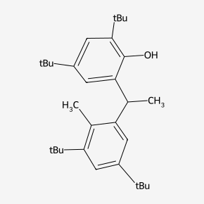 Cc1c(C(C)c2cc(C(C)(C)C)cc(C(C)(C)C)c2O)cc(C(C)(C)C)cc1C(C)(C)C